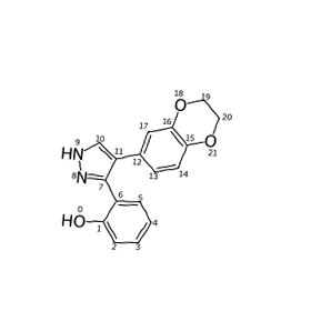 Oc1ccccc1-c1n[nH]cc1-c1ccc2c(c1)OCCO2